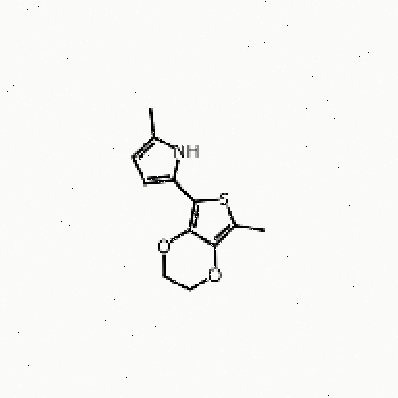 Cc1ccc(-c2sc(C)c3c2OCCO3)[nH]1